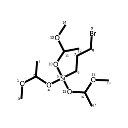 COC(C)O[Si](CCCBr)(OC(C)OC)OC(C)OC